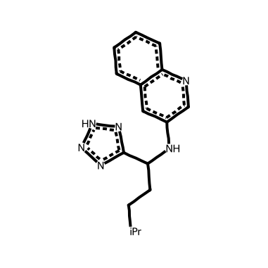 CC(C)CCC(Nc1cnc2ccccc2c1)c1nn[nH]n1